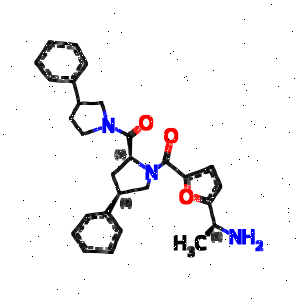 C[C@H](N)c1ccc(C(=O)N2C[C@@H](c3ccccc3)C[C@H]2C(=O)N2CCC(c3ccccc3)C2)o1